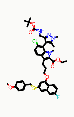 CCOC(=O)c1c(CCCOc2cc(SCc3ccc(OC)cc3)cc3cc(F)ccc23)c2ccc(Cl)c(-c3c(CNC(=O)OC(C)(C)C)nn(C)c3C)c2n1C